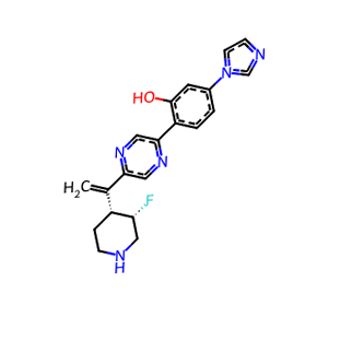 C=C(c1cnc(-c2ccc(-n3ccnc3)cc2O)cn1)[C@H]1CCNC[C@H]1F